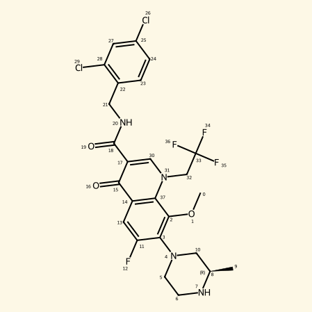 COc1c(N2CCN[C@H](C)C2)c(F)cc2c(=O)c(C(=O)NCc3ccc(Cl)cc3Cl)cn(CC(F)(F)F)c12